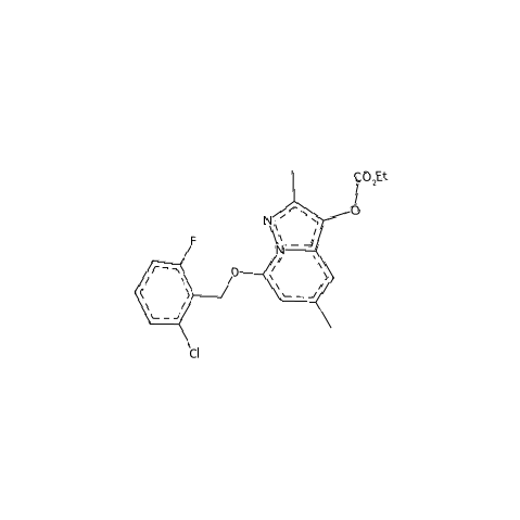 CCOC(=O)Oc1c(C)nn2c(OCc3c(F)cccc3Cl)cc(C)cc12